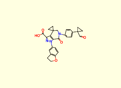 O=CC1(c2ccc(N3CC4(CC4)c4c(C(=O)O)nn(-c5ccc6c(c5)CCO6)c4C3=O)cc2)CC1